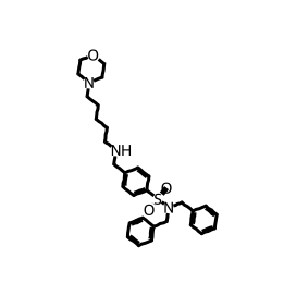 O=S(=O)(c1ccc(CNCCCCCN2CCOCC2)cc1)N(Cc1ccccc1)Cc1ccccc1